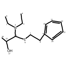 CCN(CC)C(SCCc1ccccc1)C(C)O